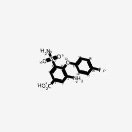 Nc1cc(C(=O)O)cc(S(N)(=O)=O)c1Oc1ccc(F)cc1